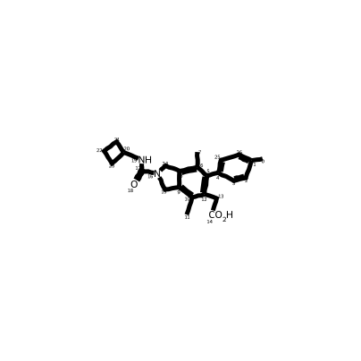 Cc1ccc(-c2c(C)c3c(c(C)c2CC(=O)O)CN(C(=O)NC2CCC2)C3)cc1